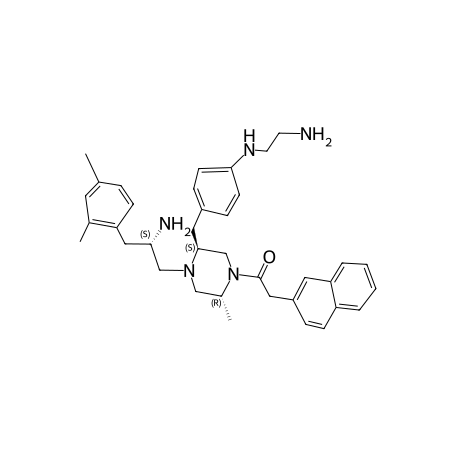 Cc1ccc(C[C@H](N)CN2C[C@@H](C)N(C(=O)Cc3ccc4ccccc4c3)C[C@@H]2Cc2ccc(NCCN)cc2)c(C)c1